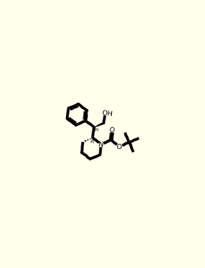 CC(C)(C)OC(=O)N1CCCC[C@@H]1[C@H](CO)c1ccccc1